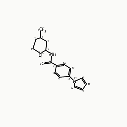 O=C(NC1CC(C(F)(F)F)CCN1)c1ccc(-n2cccc2)cc1